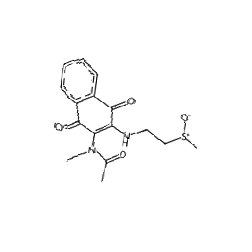 CC(=O)N(C)C1=C(NCC[S+](C)[O-])C(=O)c2ccccc2C1=O